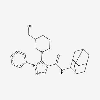 O=C(NC1C2CC3CC(C2)CC1C3)c1cnn(-c2ccccc2)c1N1CCCC(CO)C1